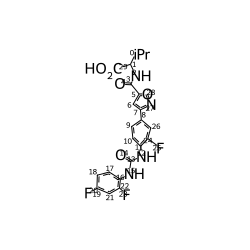 CC(C)C(NC(=O)c1cc(-c2ccc(NC(=O)Nc3ccc(F)cc3F)c(F)c2)no1)C(=O)O